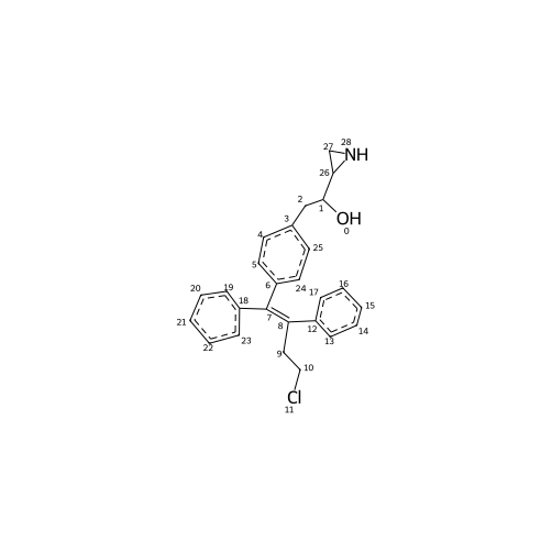 OC(Cc1ccc(C(=C(CCCl)c2ccccc2)c2ccccc2)cc1)C1CN1